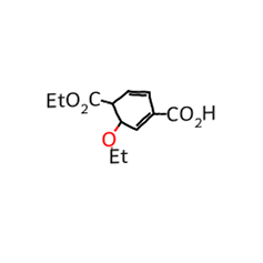 CCOC(=O)C1C=CC(C(=O)O)=CC1OCC